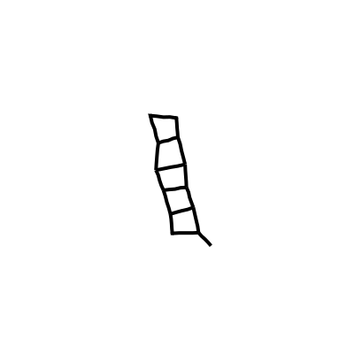 CC1CC2C1C1C3C4CCC4C3C21